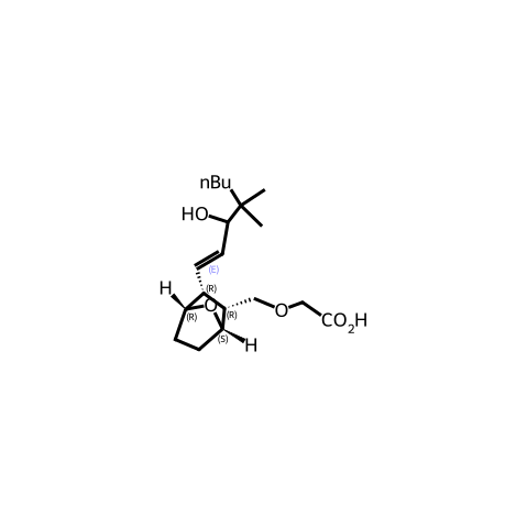 CCCCC(C)(C)C(O)/C=C/[C@@H]1[C@H](COCC(=O)O)[C@@H]2CC[C@H]1O2